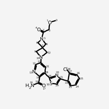 COCC(=O)N1CC2(C1)CN(c1cnc(C(N)=O)c(-c3nc(-c4ccccc4Cl)cs3)c1)C2